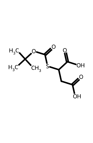 CC(C)(C)OC(=O)SC(CC(=O)O)C(=O)O